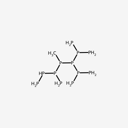 CP(P(P)PP)P(P(P)P)P(P)P